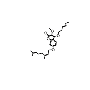 CCC=CCCOc1c(OC)c(=O)oc2cc(OCC=C(C)CCC=C(C)C)ccc12